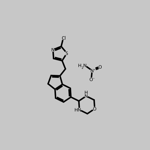 Clc1ncc(CC2=CCc3ccc(C4NCOCN4)cc32)s1.N[N+](=O)[O-]